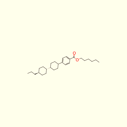 CCCCCCOC(=O)c1ccc(C2CCC([C@H]3CC[C@H](CCC)CC3)CC2)cc1